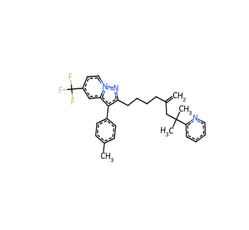 C=C(CCCCc1nn2ccc(C(F)(F)F)cc2c1-c1ccc(C)cc1)CC(C)(C)c1ccccn1